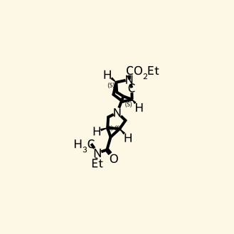 CCOC(=O)N1C[C@@H]2CC[C@H]1CC2N1C[C@@H]2C(C(=O)N(C)CC)[C@@H]2C1